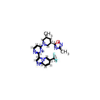 Cc1noc([C@@H]2C[C@H](C)CN(c3ccnc(-c4cnc5ccc(C(F)F)cn45)n3)C2)n1